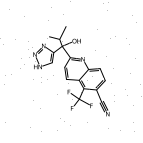 CC(C)C(O)(c1c[nH]nn1)c1ccc2c(C(F)(F)F)c(C#N)ccc2n1